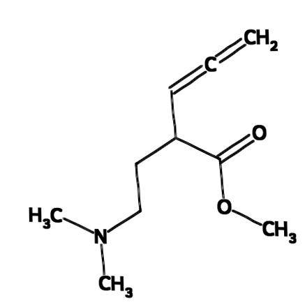 C=C=CC(CCN(C)C)C(=O)OC